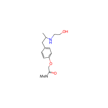 CNC(=O)COc1ccc(CC(C)NCCO)cc1